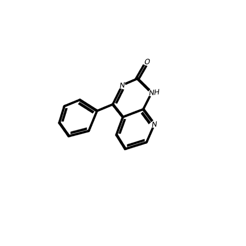 O=c1nc(-c2ccccc2)c2cccnc2[nH]1